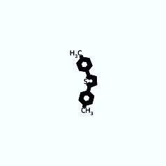 Cc1ccc(-c2ccc(-c3ccc(C)cc3)s2)cc1